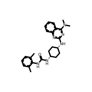 Cc1cccc(C)c1NC(=O)N[C@H]1CC[C@@H](Nc2nc(N(C)C)c3ccccc3n2)CC1